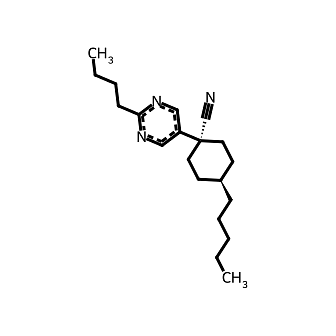 CCCCC[C@H]1CC[C@@](C#N)(c2cnc(CCCC)nc2)CC1